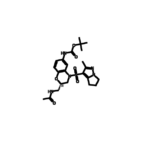 CC(=O)NC[C@H]1CN(S(=O)(=O)c2c(C)nn3c2CCC3)c2cc(NC(=O)OC(C)(C)C)ccc2O1